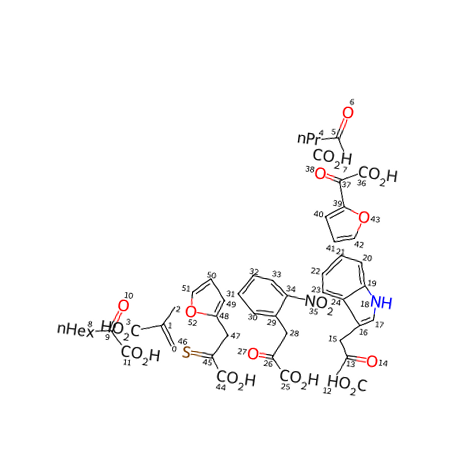 C=C(C)C(=O)O.CCCC(=O)C(=O)O.CCCCCCC(=O)C(=O)O.O=C(O)C(=O)Cc1c[nH]c2ccccc12.O=C(O)C(=O)Cc1ccccc1[N+](=O)[O-].O=C(O)C(=O)c1ccco1.O=C(O)C(=S)Cc1ccco1